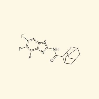 O=C(Nc1nc2c(F)c(F)c(F)cc2s1)C1C2CC3CC(C2)CC1C3